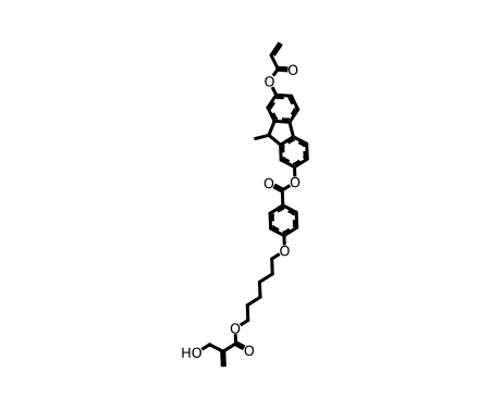 C=CC(=O)Oc1ccc2c(c1)C(C)c1cc(OC(=O)c3ccc(OCCCCCCOC(=O)C(=C)CO)cc3)ccc1-2